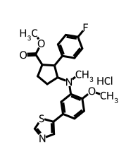 COC(=O)C1CCC(N(C)c2cc(-c3cncs3)ccc2OC)C1c1ccc(F)cc1.Cl